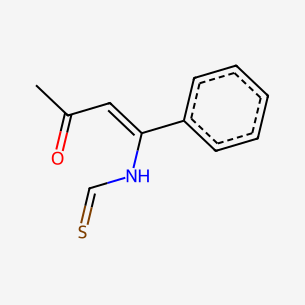 CC(=O)/C=C(\NC=S)c1ccccc1